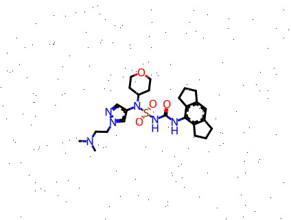 CN(C)CCn1cc(N(C2CCOCC2)S(=O)(=O)NC(=O)Nc2c3c(cc4c2CCC4)CCC3)cn1